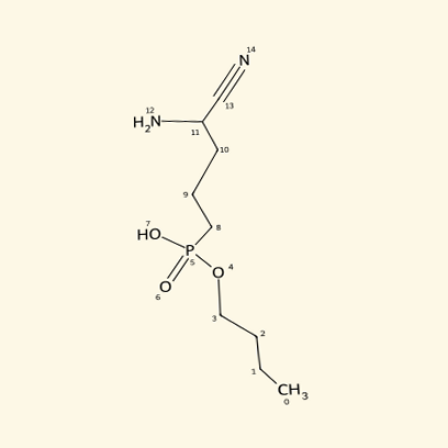 CCCCOP(=O)(O)CCCC(N)C#N